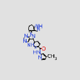 Cc1ccnc(NC(=O)c2ccc(-c3nn([C@H]4CCCc5[nH]ncc54)c4ncnc(N)c34)cc2)c1